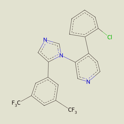 FC(F)(F)c1cc(-c2cncn2-c2cnccc2-c2ccccc2Cl)cc(C(F)(F)F)c1